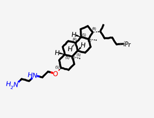 CC(C)CCCC(C)[C@H]1CC[C@H]2[C@@H]3CC[C@H]4C[C@@H](OCCNCCN)CC[C@]4(C)[C@H]3CC[C@]12C